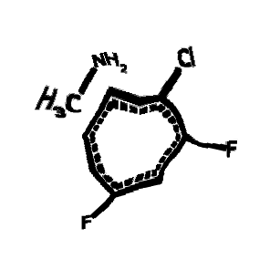 CN.Fc1ccc(Cl)c(F)c1